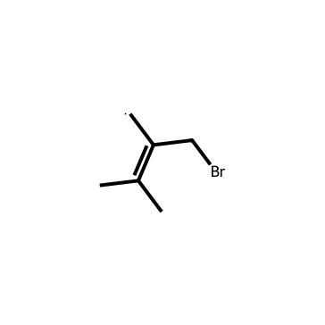 [CH2]C(CBr)=C(C)C